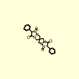 O=C1C(c2ccccc2)[N+](=O)N2CC3(CN12)CN1C(=O)C(c2ccccc2)[N+](=O)N1C3